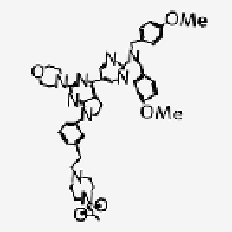 COc1ccc(CN(Cc2ccc(OC)cc2)c2ncc(-c3nc(N4CCOCC4)nc4c3CCN4c3cccc(CCN4CCN(S(C)(=O)=O)CC4)c3)cn2)cc1